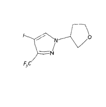 FC(F)(F)c1nn(C2CCOC2)cc1I